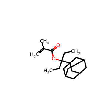 C=C(C)C(=O)OC(CC)(CC)C12CC3CC(CC(C3)C1)C2